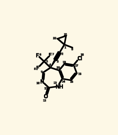 CC1(C#C[C@]2(C(F)(F)F)C=NC(=O)Nc3ccc(Cl)cc32)CC1